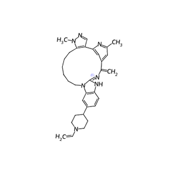 C=CN1CCC(c2ccc3c(c2)N2CCCCCCc4c(cnn4C)-c4cc(cc(C)n4)C(=C)/N=C/2N3)CC1